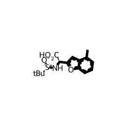 Cc1cccc2oc([C@H](N[S@@+]([O-])C(C)(C)C)C(=O)O)cc12